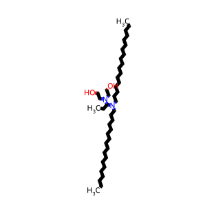 CCCCCCCCCCCCCCCCCCN(CCCCCCCCCCCCCCCCCC)C(CC)N(CCO)CCO